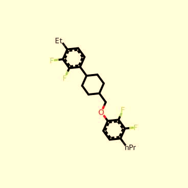 CCCc1ccc(OCC2CCC(c3ccc(CC)c(F)c3F)CC2)c(F)c1F